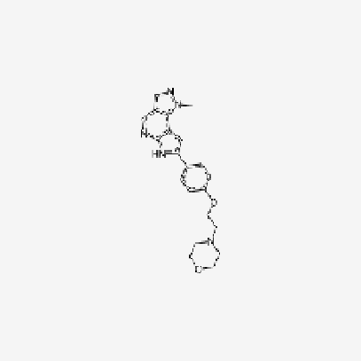 Cn1ncc2cnc3[nH]c(-c4ccc(OCCN5CCOCC5)cc4)cc3c21